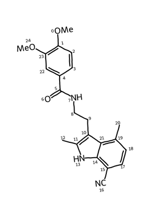 COc1ccc(C(=O)NCCc2c(C)[nH]c3c(C#N)ccc(C)c23)cc1OC